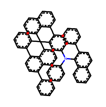 c1ccc(-c2ccc3ccccc3c2N(c2ccccc2)c2ccc3c(c2)C2(c4ccccc4-c4ccc(-c5ccccc5)c5cccc2c45)c2cccc4cccc-3c24)cc1